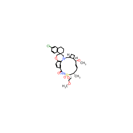 COCC[C@H]1[C@@H](C)C/C=C/[C@H](OC)[C@@H]2CC[C@H]2CN2C[C@@]3(CCCc4cc(Cl)ccc43)COc3ccc(cc32)C(=O)NS1(=O)=O